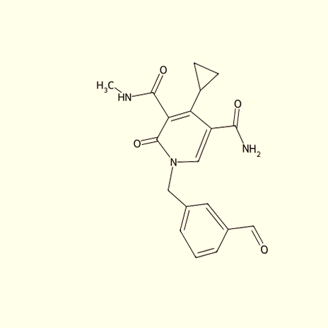 CNC(=O)c1c(C2CC2)c(C(N)=O)cn(Cc2cccc(C=O)c2)c1=O